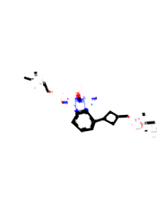 Cn1c(=O)n(COCC[Si](C)(C)C)c2cccc(C3CC(CO[Si](C)(C)C(C)(C)C)C3)c21